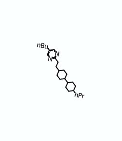 CCCCc1cnc(CCC2CCC(C3CCC(CCC)CC3)CC2)nc1